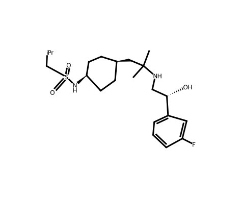 CC(C)CS(=O)(=O)N[C@H]1CC[C@@H](CC(C)(C)NC[C@H](O)c2cccc(F)c2)CC1